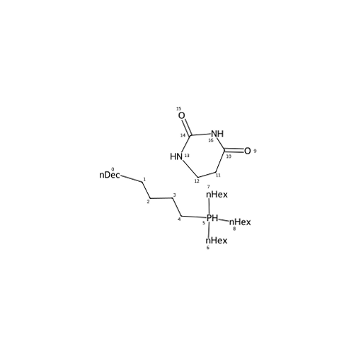 CCCCCCCCCCCCCC[PH](CCCCCC)(CCCCCC)CCCCCC.O=C1CCNC(=O)N1